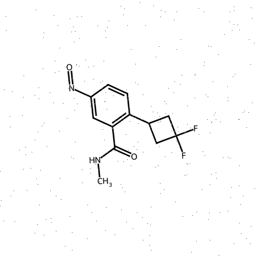 CNC(=O)c1cc(N=O)ccc1C1CC(F)(F)C1